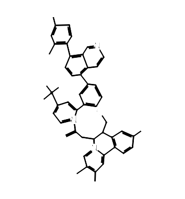 C=C1CC2C(CCc3ccc(-c4ccc(-c5ccc(C)cc5C)c5cnccc45)cc3-c3cc(C(C)(C)C)cc[n+]31)c1cc(C)ccc1-c1cc(C)c(C)c[n+]12